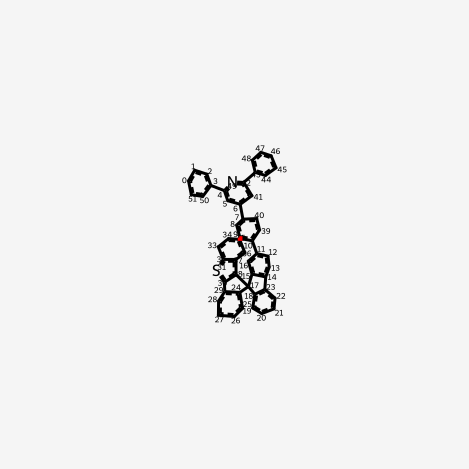 c1ccc(-c2cc(-c3ccc(-c4ccc5c(c4)C4(c6ccccc6-5)c5ccccc5-c5sc6ccccc6c54)cc3)cc(-c3ccccc3)n2)cc1